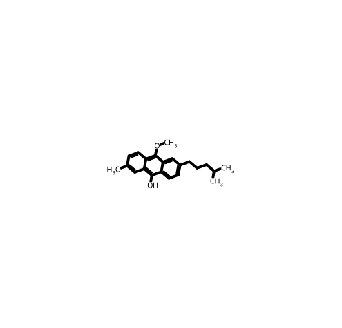 COc1c2ccc(C)cc2c(O)c2ccc(CCCC(C)C)cc12